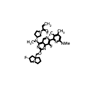 C=CC(=O)N1CC[C@@H](N(C)c2nc(OC[C@@]34CCCN3C[C@H](F)C4)nc3c(F)c(-c4nc(NC)cc(C)c4C(F)(F)F)ncc23)C1